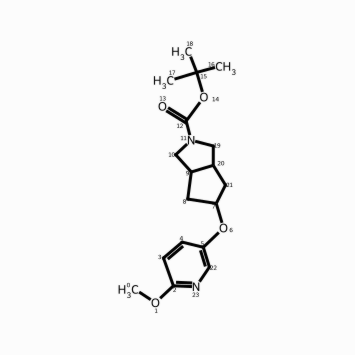 COc1ccc(OC2CC3CN(C(=O)OC(C)(C)C)CC3C2)cn1